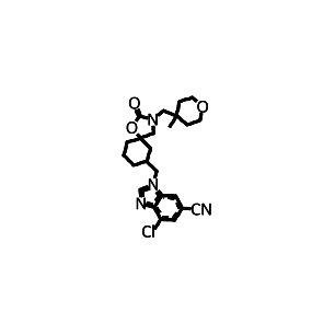 CC1(CN2CC3(CCCC(Cn4cnc5c(Cl)cc(C#N)cc54)C3)OC2=O)CCOCC1